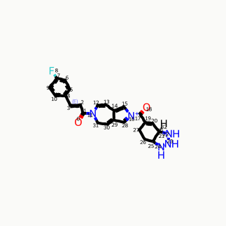 O=C(/C=C/c1ccc(F)cc1)N1C=CC2=C[N+](C(=O)C3=C[C@H]4NNNC4CC3)=CC2=CC1